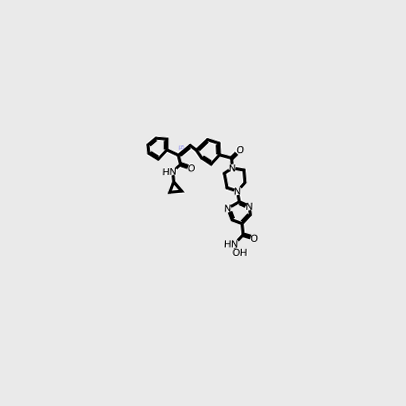 O=C(NC1CC1)/C(=C\c1ccc(C(=O)N2CCN(c3ncc(C(=O)NO)cn3)CC2)cc1)c1ccccc1